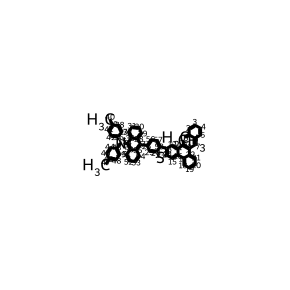 C=c1cccc/c1=C/c1c(C)c2cc3c(cc2c2ccccc12)sc1cc(-c2c4ccccc4c(N(c4ccc(C)cc4)c4ccc(C)cc4)c4ccccc24)ccc13